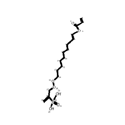 C=CC(=O)OCCCCCCCCCCOOCC(=C)P(=O)(O)O